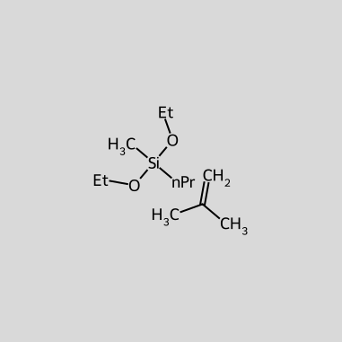 C=C(C)C.CCC[Si](C)(OCC)OCC